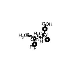 COCCN1C[C@@H](NC(=O)Nc2c(C)c(-c3ccc(C(=O)O)cc3)nn2-c2ccccc2)[C@H](c2ccc(F)c(F)c2)O1